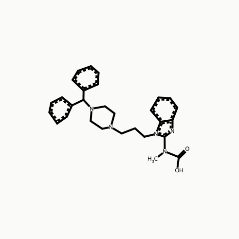 CN(C(=O)O)c1nc2ccccc2n1CCCN1CCN(C(c2ccccc2)c2ccccc2)CC1